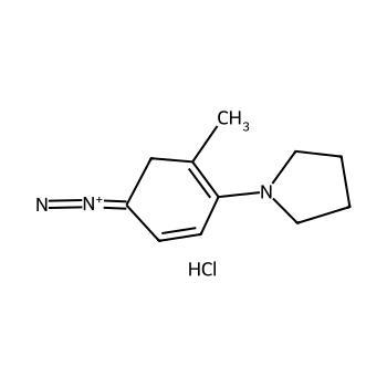 CC1=C(N2CCCC2)C=CC(=[N+]=[N-])C1.Cl